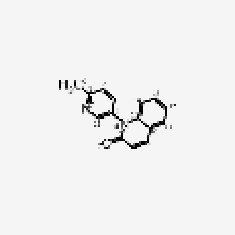 Cc1ccc(-n2c(=O)ccc3ccccc32)cn1